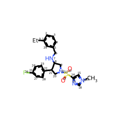 CCc1cccc(CNC2CN(S(=O)(=O)c3cn(C)cn3)CC2c2ccc(F)cc2)c1